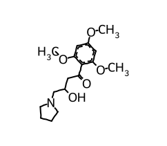 COc1cc(OC)c(C(=O)CC(O)CN2CCCC2)c(OC)c1